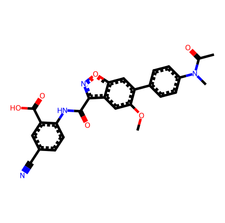 COc1cc2c(C(=O)Nc3ccc(C#N)cc3C(=O)O)noc2cc1-c1ccc(N(C)C(C)=O)cc1